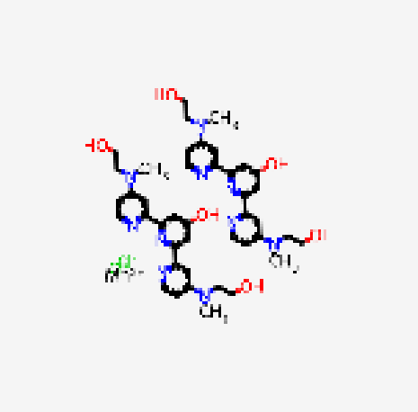 CN(CCO)c1ccnc(-c2cc(O)cc(-c3cc(N(C)CCO)ccn3)n2)c1.CN(CCO)c1ccnc(-c2cc(O)cc(-c3cc(N(C)CCO)ccn3)n2)c1.[Cl-].[Cl-].[Mn+2]